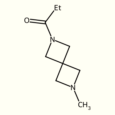 CCC(=O)N1CC2(CN(C)C2)C1